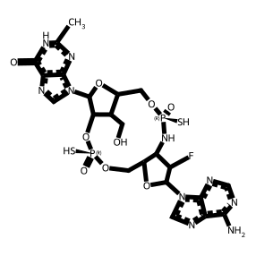 Cc1nc2c(ncn2C2OC3CO[P@@](=O)(S)NC4C(CO[P@@](=O)(S)OC2C3CO)OC(n2cnc3c(N)ncnc32)C4F)c(=O)[nH]1